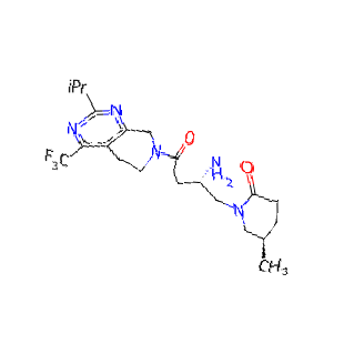 CC(C)c1nc2c(c(C(F)(F)F)n1)CCN(C(=O)C[C@H](N)CN1C[C@H](C)CCC1=O)C2